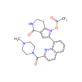 CN1CCN(C(=O)c2ccc3cccc(-c4cc5c(n4OC(=O)C(F)(F)F)CCNC5=O)c3n2)CC1